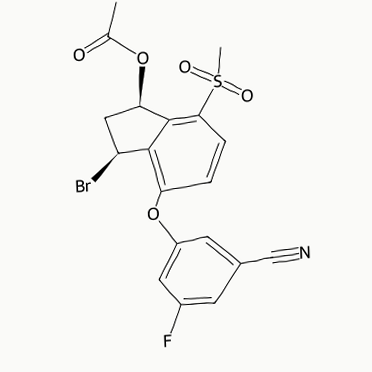 CC(=O)O[C@@H]1C[C@H](Br)c2c(Oc3cc(F)cc(C#N)c3)ccc(S(C)(=O)=O)c21